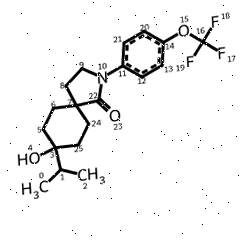 CC(C)C1(O)CCC2(CCN(c3ccc(OC(F)(F)F)cc3)C2=O)CC1